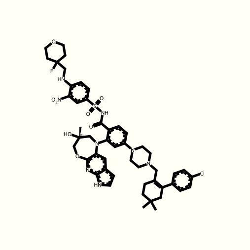 CC1(C)CCC(CN2CCN(c3ccc(C(=O)NS(=O)(=O)c4ccc(NCC5(F)CCOCC5)c([N+](=O)[O-])c4)c(N4C[C@@](C)(O)COc5nc6[nH]ccc6cc54)c3)CC2)=C(c2ccc(Cl)cc2)C1